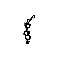 O=CCOc1ccc(-c2ccc3cc(Br)ccc3n2)cn1